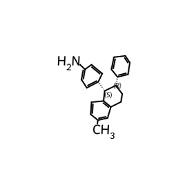 Cc1ccc2c(c1)CC[C@@H](c1ccccc1)[C@H]2c1ccc(N)cc1